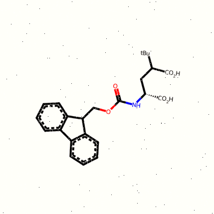 CC(C)(C)C(C[C@@H](NC(=O)OCC1c2ccccc2-c2ccccc21)C(=O)O)C(=O)O